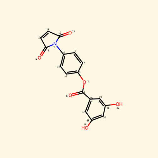 O=C(Oc1ccc(N2C(=O)C=CC2=O)cc1)c1cc(O)cc(O)c1